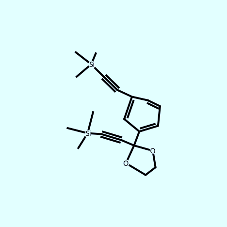 C[Si](C)(C)C#Cc1cccc(C2(C#C[Si](C)(C)C)OCCO2)c1